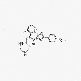 COc1ccc(-c2nc3c4cccc(F)c4nc(N[C@@H]4CNCCNC4=O)n3n2)cc1